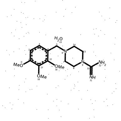 COc1ccc(CN2CCN(C(=N)N)CC2)c(OC)c1OC.O